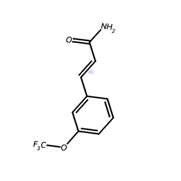 NC(=O)/C=C/c1cccc(OC(F)(F)F)c1